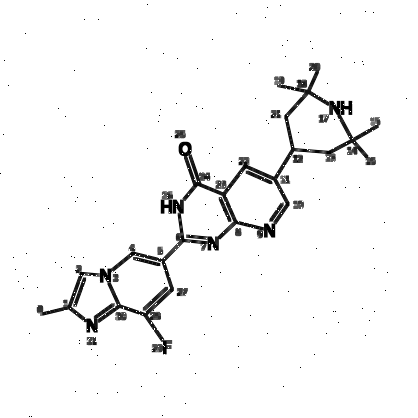 Cc1cn2cc(-c3nc4ncc(C5CC(C)(C)NC(C)(C)C5)cc4c(=O)[nH]3)cc(F)c2n1